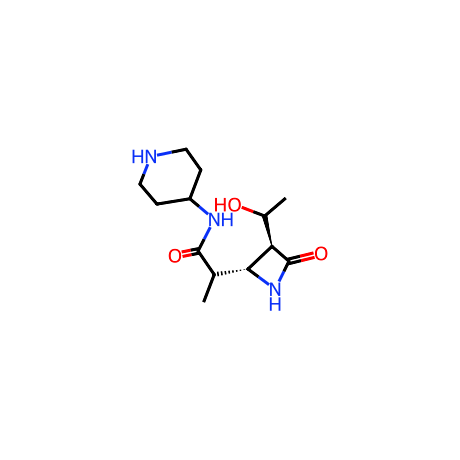 CC(C(=O)NC1CCNCC1)[C@H]1NC(=O)[C@@H]1C(C)O